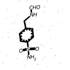 NS(=O)(=O)c1ccc(CNC=O)cc1